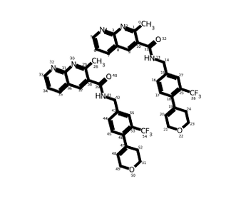 Cc1nc2ncccc2cc1C(=O)NCc1ccc(C2=CCOCC2)c(C(F)(F)F)c1.Cc1nc2ncccc2cc1C(=O)NCc1ccc(C2=CCOCC2)c(C(F)(F)F)c1